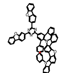 c1ccc(-c2cc(-c3nc(-c4ccc5c(c4)oc4ccccc45)nc(-c4ccc5c(c4)oc4ccccc45)n3)cc(-c3ccccc3)c2-n2c3ccccc3c3c4oc5ccc6c7ccccc7n(-c7ccccc7)c6c5c4ccc32)cc1